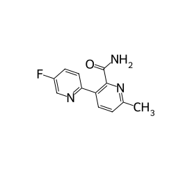 Cc1ccc(-c2ccc(F)cn2)c(C(N)=O)n1